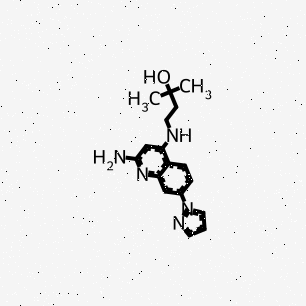 CC(C)(O)CCNc1cc(N)nc2cc(-n3cccn3)ccc12